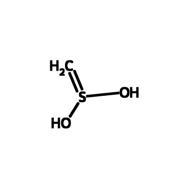 C=S(O)O